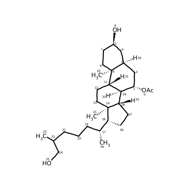 CC(=O)O[C@H]1C[C@@H]2C[C@H](O)CC[C@]2(C)[C@H]2CC[C@]3(C)[C@@H]([C@H](C)CCCC(C)CO)CC[C@H]3[C@H]12